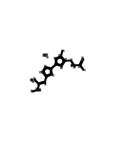 CN/C(N)=N/c1nc(-c2cc(C)c(CNC(C)=O)s2)cs1.Cl